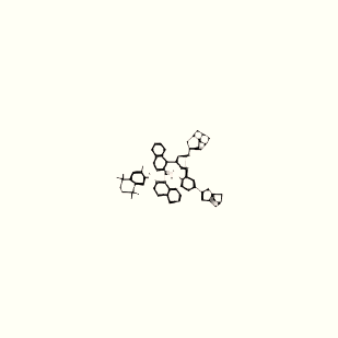 Cc1cc2c(cc1N1c3cc4ccccc4c4c3B(c3c1ccc1ccccc31)n1c3ccc(C56CC7CC8CC7(C5)C8C6)cc3c3cc(C56CC7CC8CC(C5)C87C6)cc-4c31)C(C)(C)CCC2(C)C